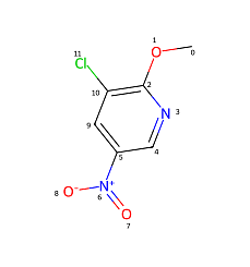 COc1ncc([N+](=O)[O-])cc1Cl